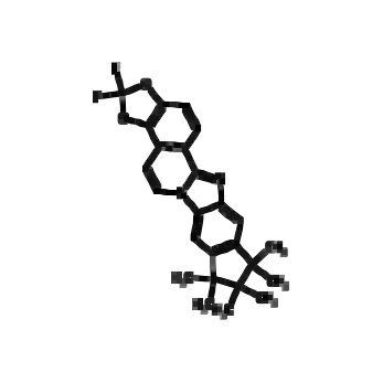 CC1(C)c2cc3nc4c5ccc6c(c5ccn4c3cc2C(C)(C)C1(C)C)OC(F)(F)O6